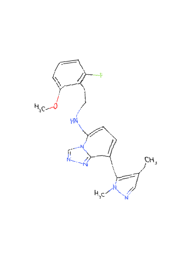 COc1cccc(F)c1CNc1ccc(-c2c(C)cnn2C)c2nncn12